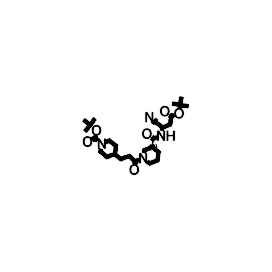 CC(C)(C)OC(=O)CC(C#N)NC(=O)[C@@H]1CCCN(C(=O)CCC2CCN(C(=O)OC(C)(C)C)CC2)C1